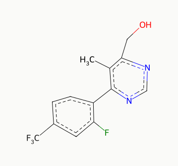 Cc1c(CO)ncnc1-c1ccc(C(F)(F)F)cc1F